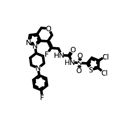 O=C(NC/C(F)=C1\COCc2cnn(C3CCN(c4ccc(F)cc4)CC3)c21)NS(=O)(=O)c1cc(Cl)c(Cl)s1